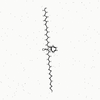 CCCCCCCCCCCCCCCCCC(Cl)NCCCCCCCCCCCCCCCC.c1ccncc1